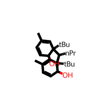 CCCC(C1(C(C)(C)C)C=C(C)C=CC1O)C1(C(C)(C)C)C=C(C)C=CC1O